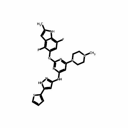 Cc1cc2c(F)c(Oc3nc(Nc4cc(-c5cccs5)[nH]n4)cc(N4CCN(C)CC4)n3)cc(F)c2[nH]1